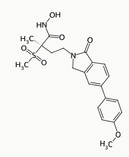 COc1ccc(-c2ccc3c(c2)CN(CC[C@](C)(C(=O)NO)S(C)(=O)=O)C3=O)cc1